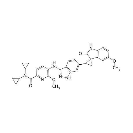 COc1ccc2c(c1)[C@]1(C[C@H]1c1ccc3c(Nc4ccc(C(=O)N(C5CC5)C5CC5)nc4OC)n[nH]c3c1)C(=O)N2